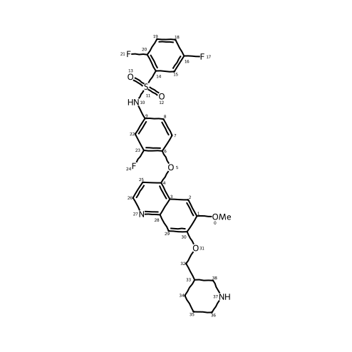 COc1cc2c(Oc3ccc(NS(=O)(=O)c4cc(F)ccc4F)cc3F)ccnc2cc1OCC1CCCNC1